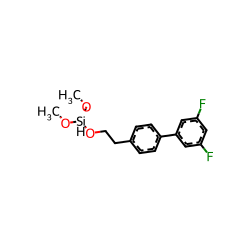 CO[SiH](OC)OCCc1ccc(-c2cc(F)cc(F)c2)cc1